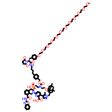 COCCOCCOCCOCCOCCOCCOCCOCCOCCOCCOCCOc1ccc(C[C@@H](C(=O)NCCCCc2c[c]c(COC(=O)N(CCOC34CC5(C)CC(C)(CC(Cn6ncc(-c7ccc(N8CCc9cccc(C(=O)Nc%10nc%11ccccc%11s%10)c9C8)nc7C(=O)O)c6C)(C5)C3)C4)CCS(=O)(=O)O)cc2)N2C(=O)C=CC2=O)cc1